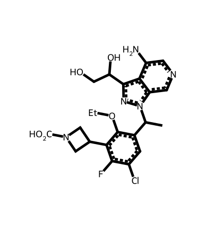 CCOc1c(C(C)n2nc(C(O)CO)c3c(N)cncc32)cc(Cl)c(F)c1C1CN(C(=O)O)C1